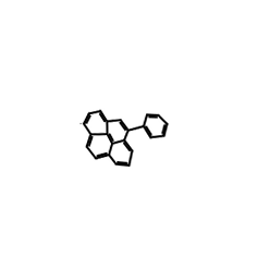 [c]1ccc2cc(-c3ccccc3)c3cccc4ccc1c2c43